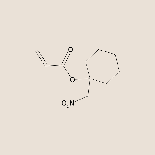 C=CC(=O)OC1(C[N+](=O)[O-])CCCCC1